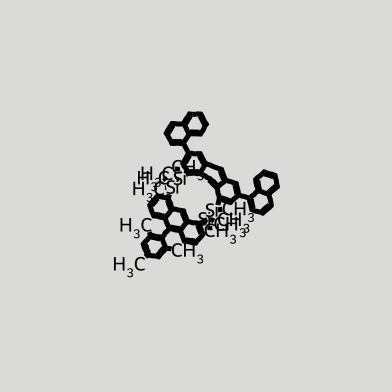 Cc1cc(C)c(-c2c3cccc4c3cc3c(cccc23)[Si](C)(C)[Si](C)(C)c2cc(-c3cccc5ccccc35)cc3cc5cc(-c6cccc7ccccc67)cc(c5cc23)[Si](C)(C)[Si]4(C)C)c(C)c1